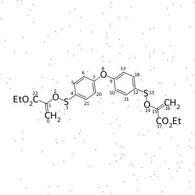 C=C(OSc1ccc(Oc2ccc(SOC(=C)C(=O)OCC)cc2)cc1)C(=O)OCC